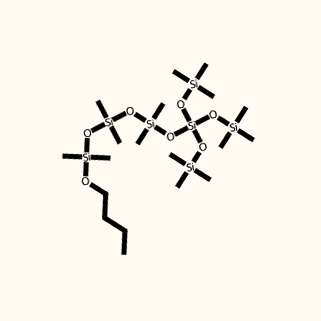 CCCCO[Si](C)(C)O[Si](C)(C)O[Si](C)(C)O[Si](O[Si](C)(C)C)(O[Si](C)(C)C)O[Si](C)(C)C